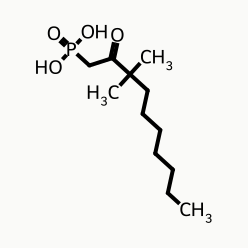 CCCCCCCC(C)(C)C(=O)CP(=O)(O)O